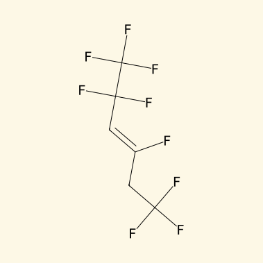 F/C(=C\C(F)(F)C(F)(F)F)CC(F)(F)F